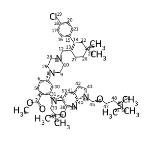 COC(=O)c1ccc(N2CCN(CC3=C(c4ccc(Cl)cc4)CC(C)(C)CC3)CC2)cc1N1CC(C)(C)Oc2nc3c(ccn3COCC[Si](C)(C)C)cc21